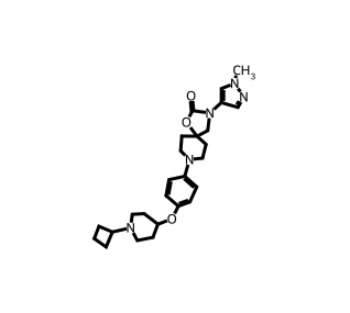 Cn1cc(N2CC3(CCN(c4ccc(OC5CCN(C6CCC6)CC5)cc4)CC3)OC2=O)cn1